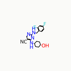 N#Cc1cnc(NCc2ccc(F)cc2F)nc1N[C@H]1CC[C@@H](O)CC1